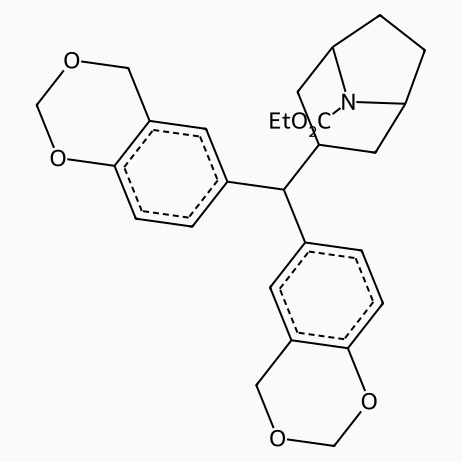 CCOC(=O)N1C2CCC1CC(C(c1ccc3c(c1)COCO3)c1ccc3c(c1)COCO3)C2